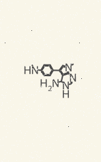 CNc1ccc(-c2cn(C)c3c2C(N)NC=N3)cc1